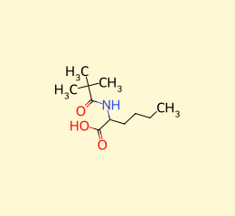 CCCCC(NC(=O)C(C)(C)C)C(=O)O